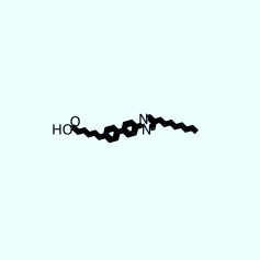 CCCCCCCCc1cnc(-c2ccc(-c3ccc(CCCCCC(=O)O)cc3)cc2)nc1